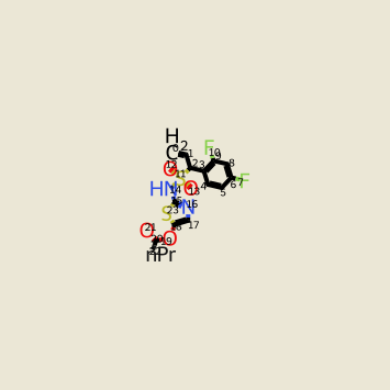 C=CC(c1ccc(F)cc1F)S(=O)(=O)Nc1ncc(OC(=O)CCC)s1